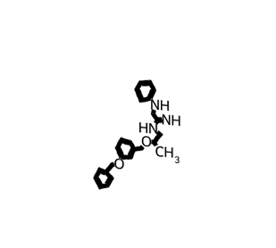 CC(CNC(=N)CNc1ccccc1)OCc1cccc(OCc2ccccc2)c1